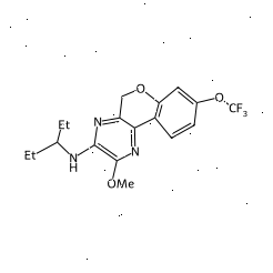 CCC(CC)Nc1nc2c(nc1OC)-c1ccc(OC(F)(F)F)cc1OC2